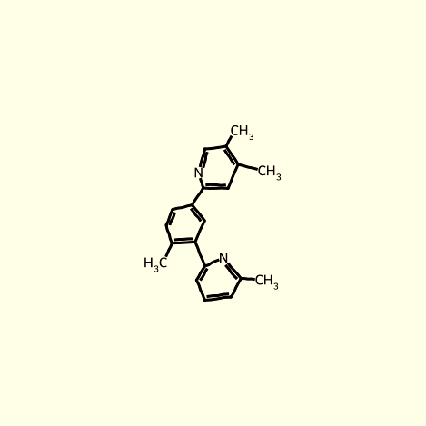 Cc1cccc(-c2cc(-c3cc(C)c(C)cn3)ccc2C)n1